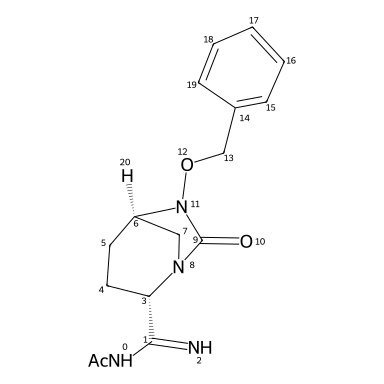 CC(=O)NC(=N)[C@@H]1CC[C@@H]2CN1C(=O)N2OCc1ccccc1